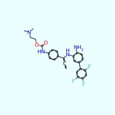 C=C=C(Nc1cc(-c2cc(F)c(F)cc2F)ccc1N)c1ccc(NC(=O)OCCN(C)C)cc1